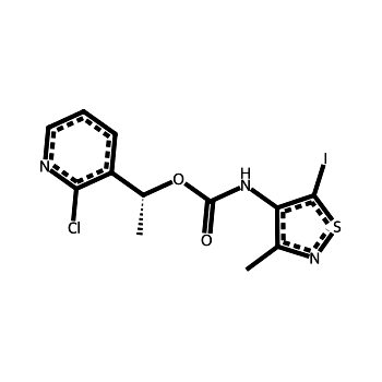 Cc1nsc(I)c1NC(=O)O[C@H](C)c1cccnc1Cl